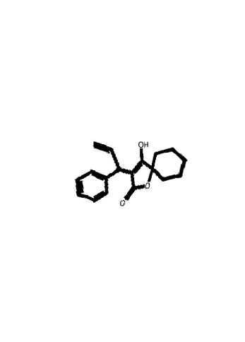 C=CC(C1=C(O)C2(CCCCC2)OC1=O)c1ccccc1